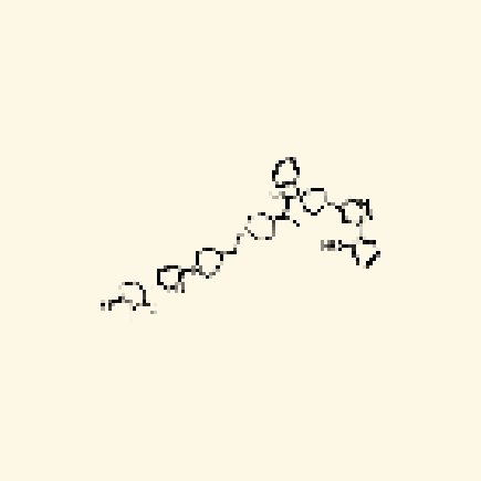 CN(C(=O)C1(c2ccccc2)CCN(c2cnnc(-c3ccccc3O)c2)CC1)C1CCN(CCC2CCN(c3ccc([C@H]4CCC(=O)NC4=O)cn3)CC2)CC1